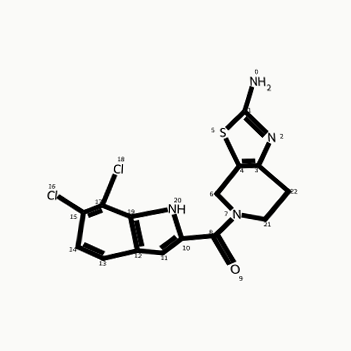 Nc1nc2c(s1)CN(C(=O)c1cc3ccc(Cl)c(Cl)c3[nH]1)CC2